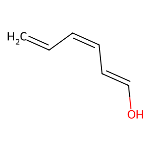 C=C/C=C\C=C\O